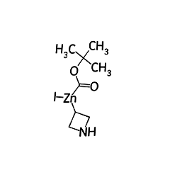 CC(C)(C)O[C](=O)[Zn]([I])[CH]1CNC1